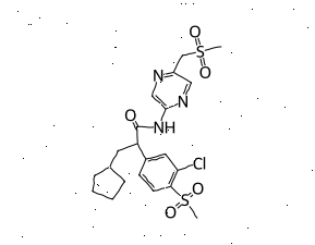 CS(=O)(=O)Cc1cnc(NC(=O)C(CC2CCCC2)c2ccc(S(C)(=O)=O)c(Cl)c2)cn1